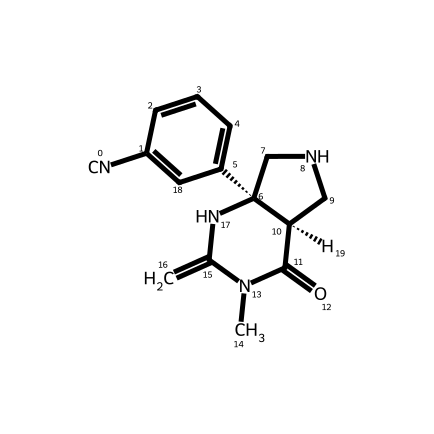 [C-]#[N+]c1cccc([C@]23CNC[C@H]2C(=O)N(C)C(=C)N3)c1